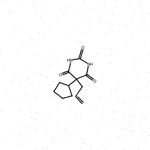 C=CCC1(C2CCCC2)C(=O)NC(=O)NC1=O